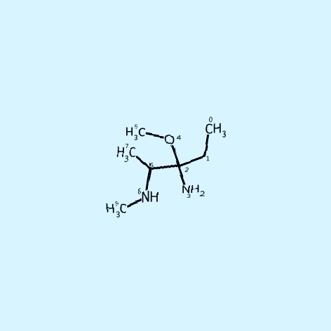 CCC(N)(OC)C(C)NC